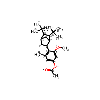 COc1cc(OC(C)=O)cc(C)c1C1CC2CC1C(C(C)(C)C)C2C(C)(C)C